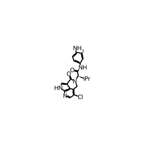 CC(C)[C@H](C(=O)Nc1ccc(N)cc1)N1Cc2c(Cl)cnc3[nH]cc(c23)C1=O